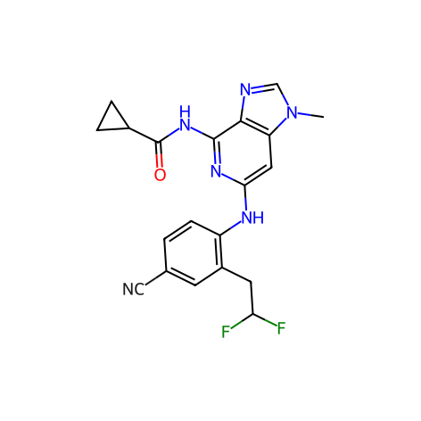 Cn1cnc2c(NC(=O)C3CC3)nc(Nc3ccc(C#N)cc3CC(F)F)cc21